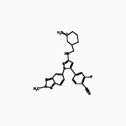 Cn1nc2ccc(-n3nc(NCC4CCC[C@H](N)C4)cc3-c3ccc(C#N)c(F)c3)cc2n1